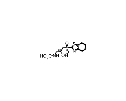 O=C(O)NC[C@H](O)CS(=O)(=O)c1nc2ccccc2s1